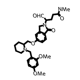 CNC(=O)CCC(C=O)N1Cc2cc(OCC3CCCCN3Cc3ccc(OC)cc3OC)ccc2C1=O